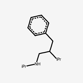 CC(C)NCC(Cc1ccccc1)C(C)C